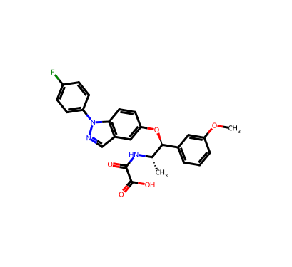 COc1cccc([C@H](Oc2ccc3c(cnn3-c3ccc(F)cc3)c2)[C@H](C)NC(=O)C(=O)O)c1